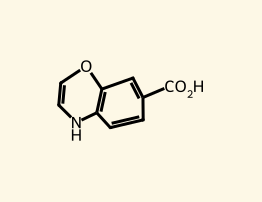 O=C(O)c1ccc2c(c1)OC=CN2